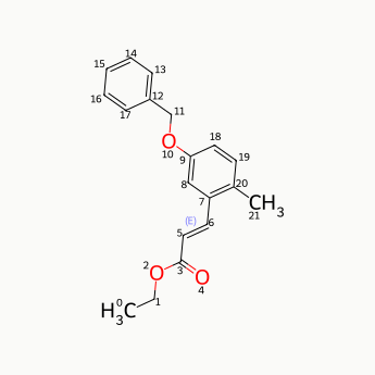 CCOC(=O)/C=C/c1cc(OCc2ccccc2)ccc1C